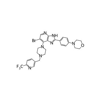 FC(F)(F)c1ccc(CN2CCN(c3c(Br)cnc4[nH]c(-c5ccc(N6CCOCC6)cc5)nc34)CC2)cn1